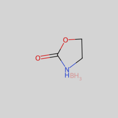 B.O=C1NCCO1